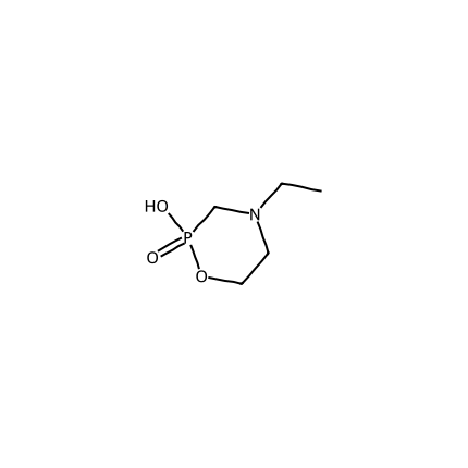 CCN1CCOP(=O)(O)C1